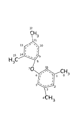 Cc1cc(C)cc(Oc2ccc(C)cc2C)c1